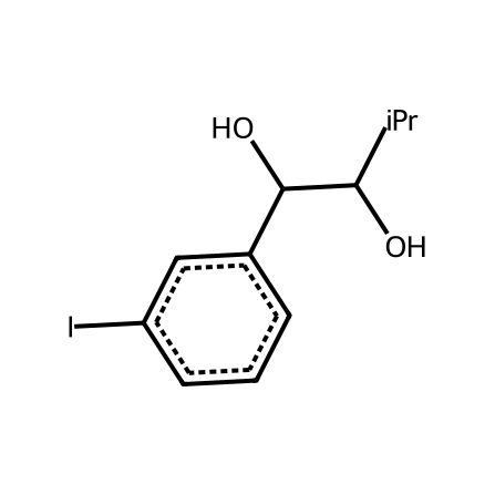 CC(C)C(O)C(O)c1cccc(I)c1